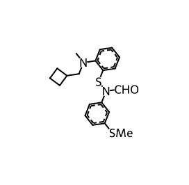 CSc1cccc(N(C=O)Sc2ccccc2N(C)CC2CCC2)c1